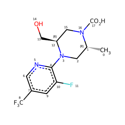 C[C@@H]1CN(c2ncc(C(F)(F)F)cc2F)[C@@H](CO)CN1C(=O)O